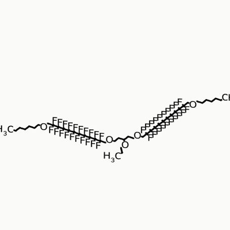 CCCCCCCOCC(F)(F)C(F)(F)C(F)(F)C(F)(F)C(F)(F)C(F)(F)C(F)(F)C(F)(F)C(F)(F)C(F)(F)COCCC(CCOCC(F)(F)C(F)(F)C(F)(F)C(F)(F)C(F)(F)C(F)(F)C(F)(F)C(F)(F)C(F)(F)C(F)(F)COCCCCCCC)OCCC